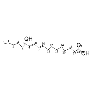 CCCCC[C@H](O)C=CC=CCCCCCCCC(=O)O